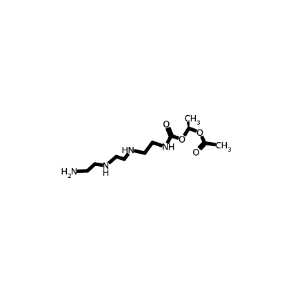 CC(=O)O[C@H](C)OC(=O)NCCNCCNCCN